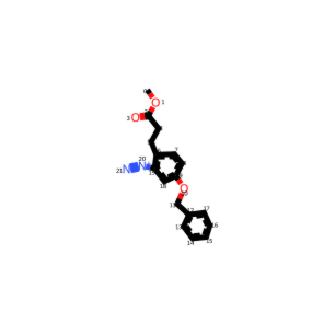 COC(=O)CCc1ccc(OCc2ccccc2)cc1[N+]#N